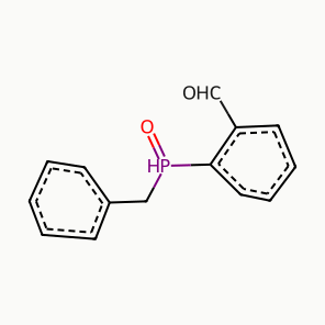 O=Cc1ccccc1[PH](=O)Cc1ccccc1